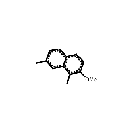 COc1ccc2ccc(C)cc2c1C